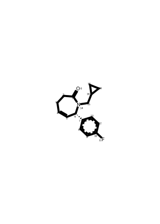 O=C1[CH]CC=C[C@@H](c2ccc(F)cc2)N1CC1CC1